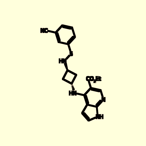 CCOC(=O)c1cnc2[nH]ccc2c1N[C@H]1C[C@H](NSc2cccc(C#N)c2)C1